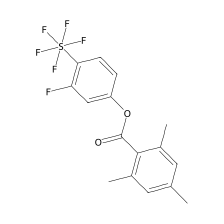 Cc1cc(C)c(C(=O)Oc2ccc(S(F)(F)(F)(F)F)c(F)c2)c(C)c1